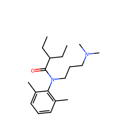 CCC(CC)C(=O)N(CCCN(C)C)c1c(C)cccc1C